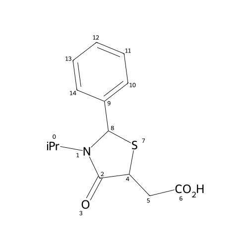 CC(C)N1C(=O)C(CC(=O)O)SC1c1ccccc1